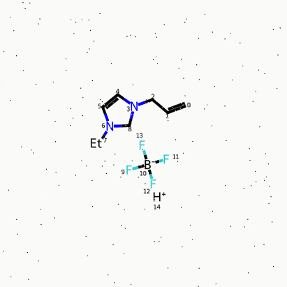 C=CCN1C=CN(CC)C1.F[B-](F)(F)F.[H+]